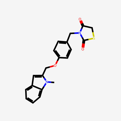 Cn1c(COc2ccc(CN3C(=O)CSC3=O)cc2)cc2ccccc21